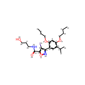 CCCCOc1cc(OCCCC)c(C(C)C)cc1-c1noc(C(=O)NCCCO)c1I